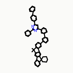 CC1(C)c2ccc(-c3cccc(-c4cccc(-c5cc(-c6ccc(-c7ccccc7)cc6)nc(-c6ccccc6)n5)c4)c3)cc2-c2cc3c(cc21)-c1ccccc1C31CCCCC1